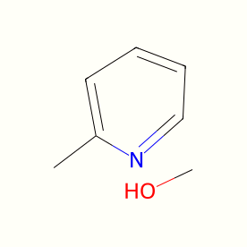 CO.Cc1ccccn1